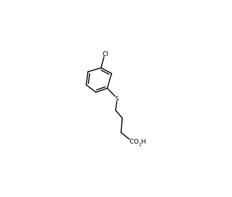 O=C(O)CCCSc1cccc(Cl)c1